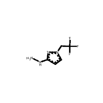 NNc1ccn(CC(F)(F)F)n1